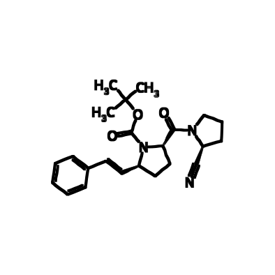 CC(C)(C)OC(=O)N1[C@H](C=Cc2ccccc2)CC[C@@H]1C(=O)N1CCC[C@H]1C#N